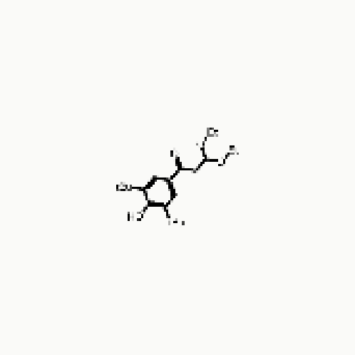 CCOC(CC(=O)c1cc(C(C)(C)C)c(O)c(C(C)(C)C)c1)OCC